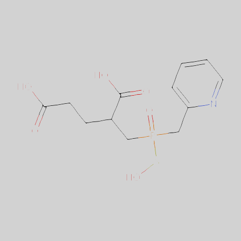 O=C(O)CCC(CP(=O)(Cc1ccccn1)SO)C(=O)O